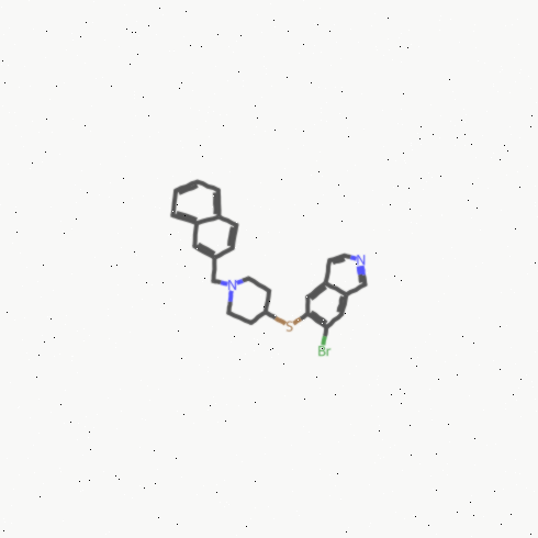 Brc1cc2cnccc2cc1SC1CCN(Cc2ccc3ccccc3c2)CC1